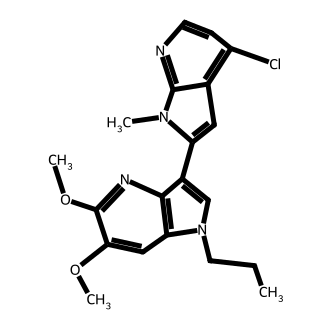 CCCn1cc(-c2cc3c(Cl)ccnc3n2C)c2nc(OC)c(OC)cc21